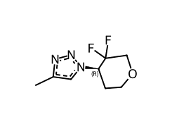 Cc1cn([C@@H]2CCOCC2(F)F)nn1